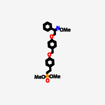 CO/N=C(\COc1ccc(COc2ccc(CCP(=O)(OC)OC)cc2)cc1)c1ccccc1